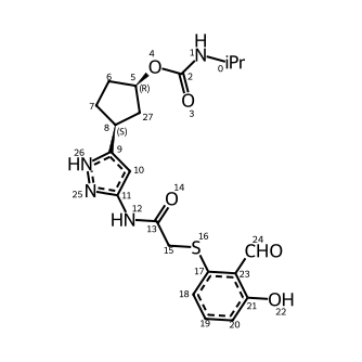 CC(C)NC(=O)O[C@@H]1CC[C@H](c2cc(NC(=O)CSc3cccc(O)c3C=O)n[nH]2)C1